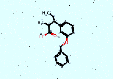 CCC(c1cccc(OCc2ccccc2)c1)C(C)C(=O)O